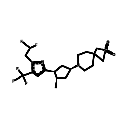 C[C@@H]1C[C@H](N2CCC3(CC2)CS(=O)(=O)C3)C[C@@H]1c1cc(C(F)(F)F)n(CC(F)F)n1